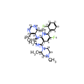 C/N=C(\c1cc(F)c(-c2ccccc2F)nc1N(C=O)c1c(C(C)C)ncnc1C(C)C)N1CCN(C)CC1C